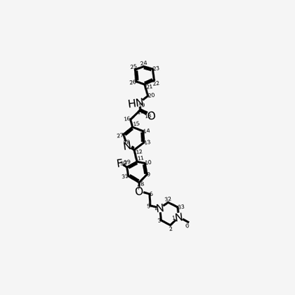 CN1CCN(CCOc2ccc(-c3ccc(CC(=O)NCc4ccccc4)cn3)c(F)c2)CC1